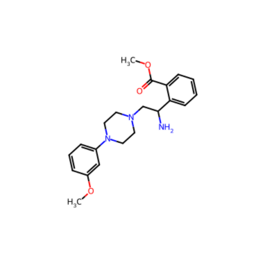 COC(=O)c1ccccc1C(N)CN1CCN(c2cccc(OC)c2)CC1